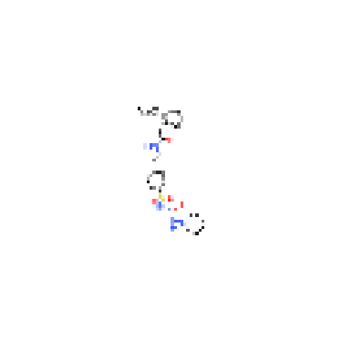 COc1ccccc1CC(=O)NCCc1ccc(S(=O)(=O)NC(=O)NN2CCCCC2)cc1